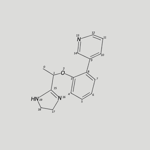 CC(Oc1ccccc1-c1cccnc1)C1=NCCN1